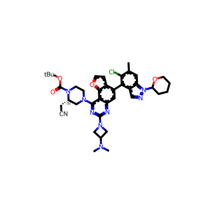 Cc1cc2c(cnn2C2CCCCO2)c(-c2cc3nc(N4CC(N(C)C)C4)nc(N4CCN(C(=O)OC(C)(C)C)[C@@H](CC#N)C4)c3c3occc23)c1Cl